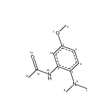 COc1ccc(N(C)C)c(NC(C)=O)c1